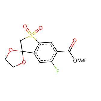 COC(=O)c1cc2c(cc1F)C1(CS2(=O)=O)OCCO1